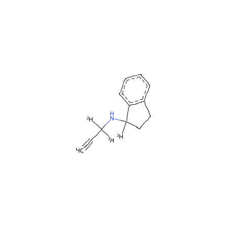 [2H]C([2H])(C#C)NC1([2H])CCc2ccccc21